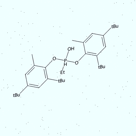 CC[PH](O)(Oc1c(C)cc(C(C)(C)C)cc1C(C)(C)C)Oc1c(C)cc(C(C)(C)C)cc1C(C)(C)C